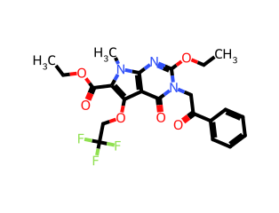 CCOC(=O)c1c(OCC(F)(F)F)c2c(=O)n(CC(=O)c3ccccc3)c(OCC)nc2n1C